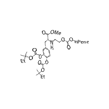 CCCCCOC(=O)OCCN[C@@H](Cc1ccc(OC(=O)OC(C)(C)CC)c(OC(=O)OC(C)(C)CC)c1)C(=O)OC